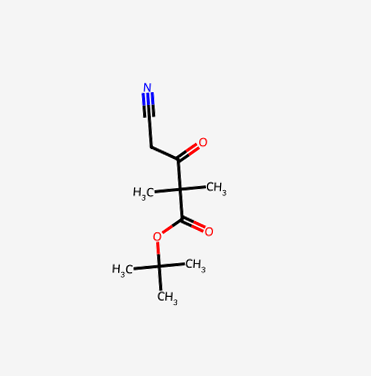 CC(C)(C)OC(=O)C(C)(C)C(=O)CC#N